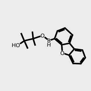 CC(C)(O)C(C)(C)OBc1cccc2c1oc1ccccc12